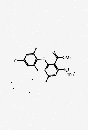 CCC(C)Nc1cc(C)nc(Oc2c(C)cc(Cl)cc2C)c1C(=O)OC